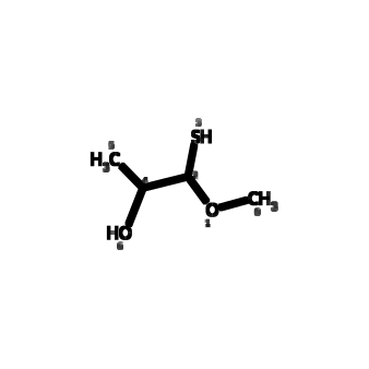 COC(S)C(C)O